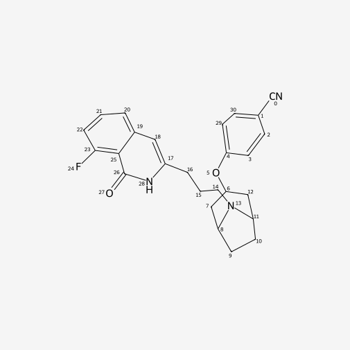 N#Cc1ccc(OC2CC3CCC(C2)N3CCCc2cc3cccc(F)c3c(=O)[nH]2)cc1